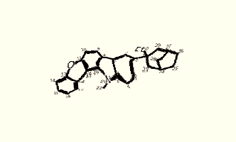 CCC1(c2ccc3c(c2)c2ccc4oc5ccccc5c4c2n3C)CC2CCC(C2)C1